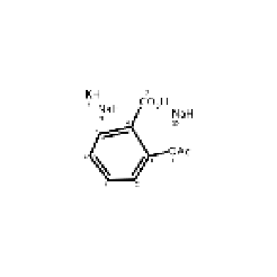 CC(=O)Oc1ccccc1C(=O)O.[KH].[NaH].[NaH]